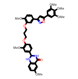 COc1ccc2c(c1)C(=O)NC(c1ccc(OCCCOc3cc(-c4cc(-c5cc(OC)c(OC)c(OC)c5)on4)ccc3OC)c(OC)c1)N2